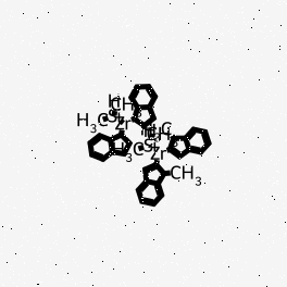 CC1[C]([Zr]([C]2=Cc3ccccc3C2C)[SiH](C)C)=Cc2ccccc21.C[SiH](C)[Zr]([CH]1CCC2C=CC=CC21)[CH]1CCC2C=CC=CC21